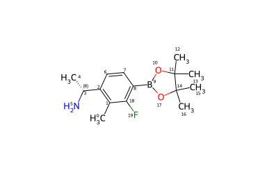 Cc1c([C@@H](C)N)ccc(B2OC(C)(C)C(C)(C)O2)c1F